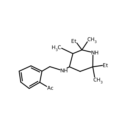 CCC1(C)CC(NCc2ccccc2C(C)=O)C(C)C(C)(CC)N1